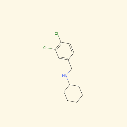 Clc1ccc(CNC2CCCCC2)cc1Cl